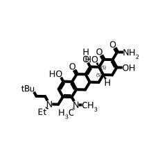 CCN(CCC(C)(C)C)Cc1cc(O)c2c(c1N(C)C)CC1C[C@H]3CC(O)=C(C(N)=O)C(=O)[C@@]3(O)C(O)=C1C2=O